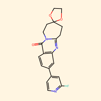 O=c1c2ccc(-c3ccnc(F)c3)cc2nc2n1CCC1(CC2)OCCO1